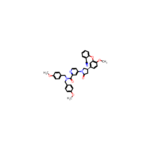 COc1ccc(CN(Cc2ccc(OC)cc2)C(=O)c2cc(N3C[C@@H](c4ccc(OC)c(Oc5ccccc5C#N)c4)CC3=O)ccn2)cc1